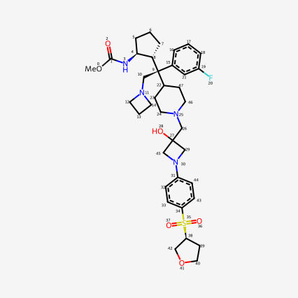 COC(=O)N[C@H]1CCC[C@@H]1[C@](CN1CCC1)(c1cccc(F)c1)C1CCN(CC2(O)CN(c3ccc(S(=O)(=O)[C@H]4CCOC4)cc3)C2)CC1